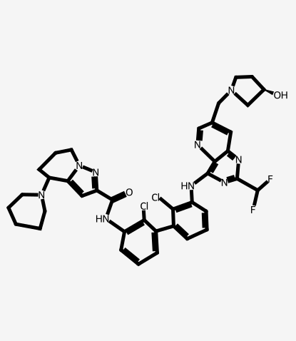 O=C(Nc1cccc(-c2cccc(Nc3nc(C(F)F)nc4cc(CN5CC[C@@H](O)C5)cnc34)c2Cl)c1Cl)c1cc2n(n1)CCCC2N1CCCCC1